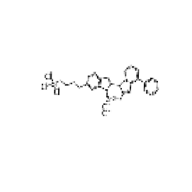 CC1=Cc2c(-c3ccccc3)cccc2C1C1=Cc2ccc(CCCC[Si](Cl)(Cl)Cl)cc2[CH]1[Zr+2].[Cl-].[Cl-]